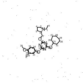 CCN1CCCC1COc1nc(Oc2ccc(OC)c(F)c2)nc(OC2CCCCCC2)n1